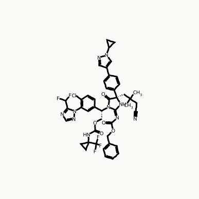 CC(C)(CC#N)C[C@]1(c2ccc(-c3cnn(C4CC4)c3)cc2)N/C(=N/C(=O)OCc2ccccc2)N([C@H](COC(=O)NC2(C(F)(F)F)CC2)c2ccc(Cl)c(-n3ncnc3C(F)F)c2)C1=O